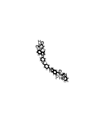 COc1cc2nn(C3CCC(CN4CCC(n5cc(C)c6c(N7CCC(=O)NC7=O)cccc65)CC4)CC3)cc2cc1C(=O)Nc1cnc2cccnn12